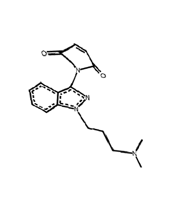 CN(C)CCCn1nc(N2C(=O)C=CC2=O)c2ccccc21